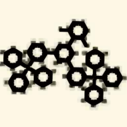 Cc1cccc(C)c1-c1cc(-c2cccc(S(c3ccccc3)(c3ccccc3)c3ccccc3)c2)nc(-c2cccc(S(c3ccccc3)(c3ccccc3)c3ccccc3)c2)c1